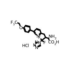 Cl.NC(C(=O)O)C(Cc1ccc(-c2ccc(OCC(F)(F)F)cc2)cn1)C(F)(F)n1cnnn1